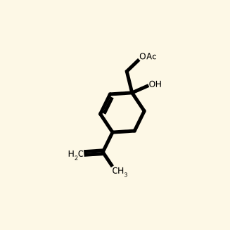 C=C(C)C1C=CC(O)(COC(C)=O)CC1